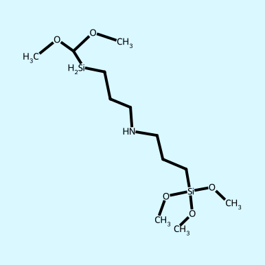 COC(OC)[SiH2]CCCNCCC[Si](OC)(OC)OC